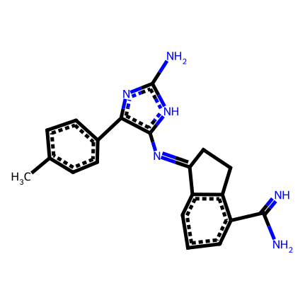 Cc1ccc(-c2nc(N)[nH]c2N=C2CCc3c(C(=N)N)cccc32)cc1